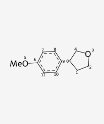 C1CCOC1.COc1ccccc1